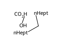 CCCCCCCCCCCCCCC.O=C(O)O